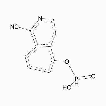 N#Cc1nccc2c(O[PH](=O)O)cccc12